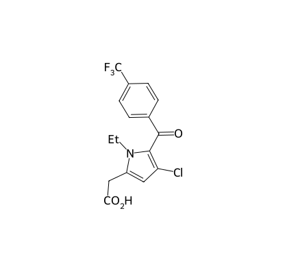 CCn1c(CC(=O)O)cc(Cl)c1C(=O)c1ccc(C(F)(F)F)cc1